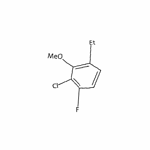 CCc1ccc(F)c(Cl)c1OC